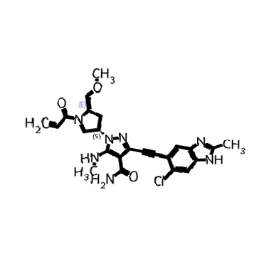 C=CC(=O)N1C[C@@H](n2nc(C#Cc3cc4nc(C)[nH]c4cc3Cl)c(C(N)=O)c2NC)C/C1=C\OC